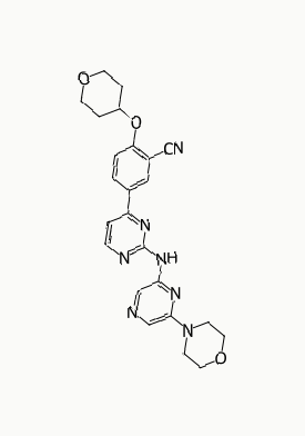 N#Cc1cc(-c2ccnc(Nc3cncc(N4CCOCC4)n3)n2)ccc1OC1CCOCC1